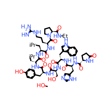 CCNC(=O)[C@@H]1CCCN1C(=O)[C@H](CCCNC(=N)N)NC(=O)[C@H](CC(C)C)NC(=O)[C@@H](CC(C)C)NC(=O)[C@H](Cc1ccc(O)cc1)NC(=O)[C@H](CO)NC(=O)[C@H](Cc1c[nH]c2ccccc12)NC(=O)[C@H](Cc1cnc[nH]1)NC(=O)[C@@H]1CCC(=O)N1.CO